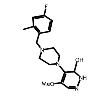 COC1=C(N2CCN(Cc3ccc(F)cc3C)CC2)C(O)NN=C1